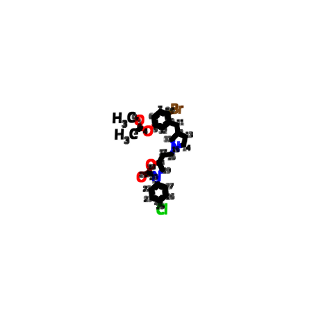 COC(C)Oc1ccc(Br)c(CC2CCN(CCC3CN(c4ccc(Cl)cc4)C(=O)O3)C2)c1